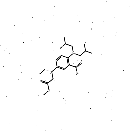 CC[C@@H](CC(=O)OC)c1ccc(N(CC(C)C)CC(C)C)c([N+](=O)[O-])c1